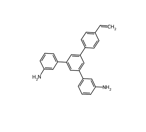 C=Cc1ccc(-c2cc(-c3cccc(N)c3)cc(-c3cccc(N)c3)c2)cc1